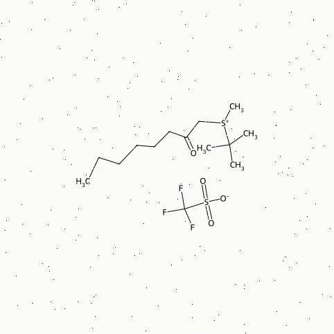 CCCCCCC(=O)C[S+](C)C(C)(C)C.O=S(=O)([O-])C(F)(F)F